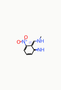 CN/C=C1\C(=N)C=CC=C1[N+](=O)[O-]